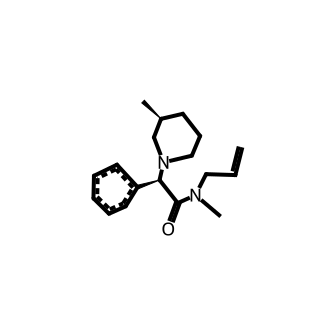 C=CCN(C)C(=O)[C@@H](c1ccccc1)N1CCC[C@H](C)C1